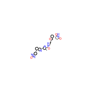 Cc1cc(-c2cc3cccc(-c4ccc5c(c4)n(C)c(=O)n5C)c3cn2)cnc1C(=O)NCC#Cc1cc2c([C@H]3CCC(=O)NC3=O)cccc2o1